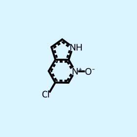 [O-][n+]1cc(Cl)cc2cc[nH]c21